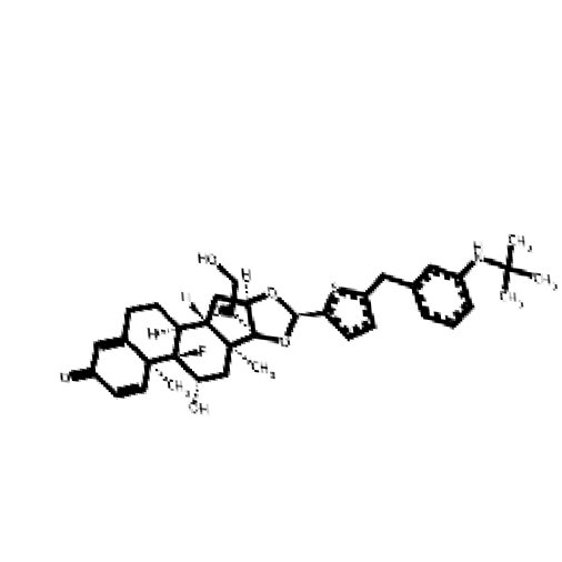 CC(C)(C)Nc1cccc(Cc2ccc([C@@H]3O[C@@H]4C[C@H]5[C@@H]6CCC7=CC(=O)C=C[C@]7(C)[C@@]6(F)[C@@H](O)C[C@]5(C)[C@]4(C(=O)CO)O3)s2)c1